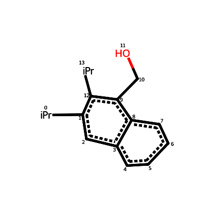 CC(C)c1cc2ccccc2c(CO)c1C(C)C